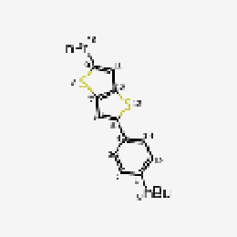 CCCCc1ccc(-c2cc3sc(CCC)cc3s2)cc1